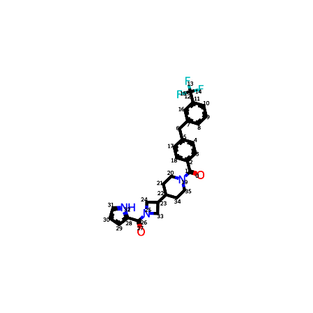 O=C(c1ccc(Cc2cccc(C(F)(F)F)c2)cc1)N1CCC(C2CN(C(=O)c3ccc[nH]3)C2)CC1